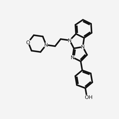 Oc1ccc(-c2cn3c4ccccc4n(CCN4CCOCC4)c3n2)cc1